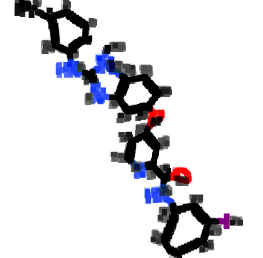 CC(C)c1cccc(Nc2nc3cc(Oc4ccnc(C(=O)Nc5cccc(I)c5)c4)ccc3n2C)c1